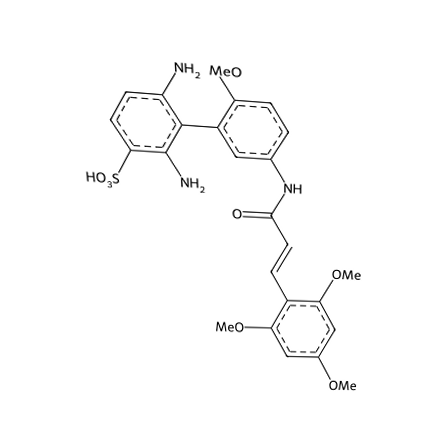 COc1cc(OC)c(C=CC(=O)Nc2ccc(OC)c(-c3c(N)ccc(S(=O)(=O)O)c3N)c2)c(OC)c1